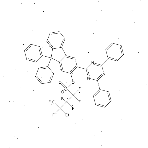 CCC(F)(C(F)(F)F)C(F)(F)C(F)(F)S(=O)(=O)Oc1cc2c(cc1-c1nc(-c3ccccc3)nc(-c3ccccc3)n1)-c1ccccc1C2(c1ccccc1)c1ccccc1